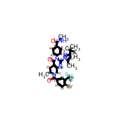 CNC(=O)c1ccc(-n2c(-n3nc(C(C)(C)C)cc3C)nc3c(c2=O)C[C@@H](C)N(C(=O)c2ccc(Br)c(C(F)(F)F)c2)C3)cc1